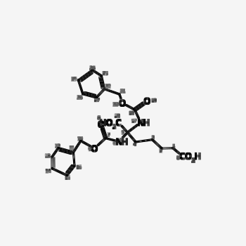 O=C(O)CCCCC(NC(=O)OCc1ccccc1)(NC(=O)OCc1ccccc1)C(=O)O